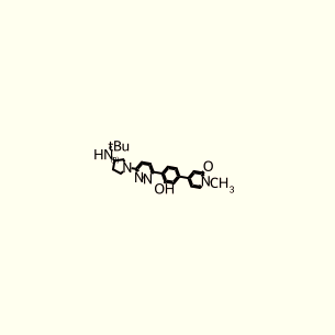 Cn1ccc(-c2ccc(-c3ccc(N4CC[C@@H](NC(C)(C)C)C4)nn3)c(O)c2)cc1=O